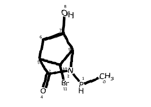 CPN1C(=O)C2CC(O)C1C2Br